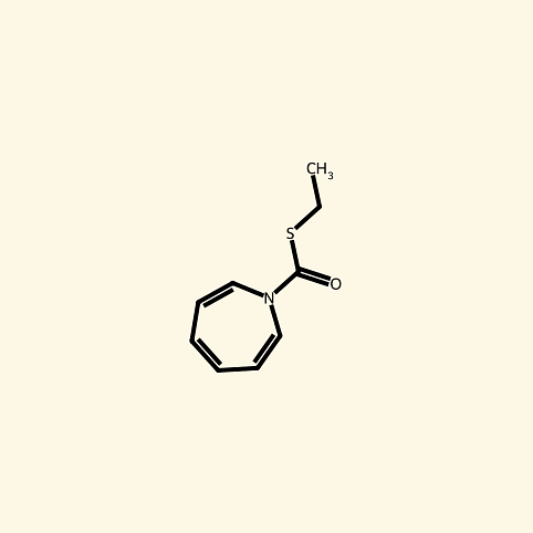 CCSC(=O)N1C=CC=CC=C1